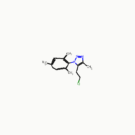 Cc1cc(C)c(-n2nnc(C)c2CCCl)c(C)c1